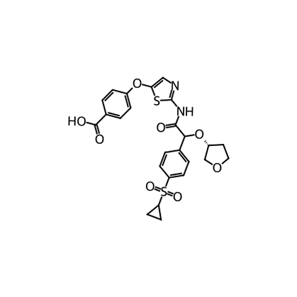 O=C(O)c1ccc(Oc2cnc(NC(=O)C(O[C@@H]3CCOC3)c3ccc(S(=O)(=O)C4CC4)cc3)s2)cc1